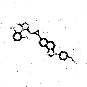 Cc1cccc(C)c1N1C(=O)CSC1=NC1CC1c1ccc2c(ccc3c2ncn3-c2ccc(OC(F)(F)F)cc2)c1